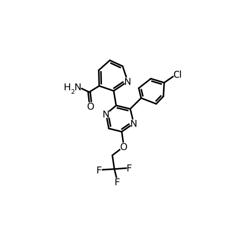 NC(=O)c1cccnc1-c1ncc(OCC(F)(F)F)nc1-c1ccc(Cl)cc1